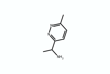 Cc1ccc(C(C)N)nn1